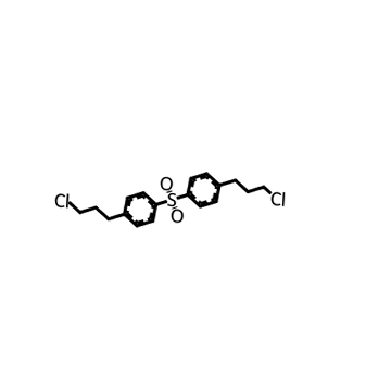 O=S(=O)(c1ccc(CCCCl)cc1)c1ccc(CCCCl)cc1